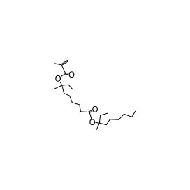 C=C(C)C(=O)OC(C)(CC)CCCCCC(=O)OC(C)(CC)CCCCCC